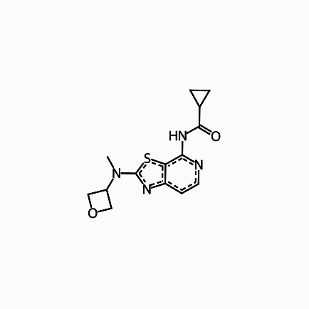 CN(c1nc2ccnc(NC(=O)C3CC3)c2s1)C1COC1